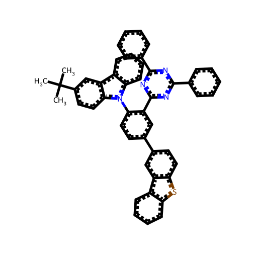 CC(C)(C)c1ccc2c(c1)c1ccccc1n2-c1ccc(-c2ccc3sc4ccccc4c3c2)cc1-c1nc(-c2ccccc2)nc(-c2ccccc2)n1